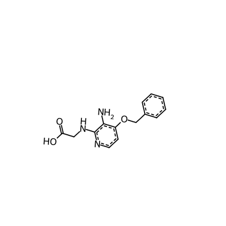 Nc1c(OCc2ccccc2)ccnc1NCC(=O)O